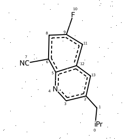 CC(C)Cc1cnc2c(C#N)cc(F)cc2c1